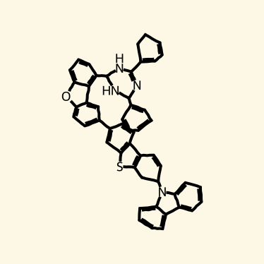 C1=CCCC(C2=NC(c3ccccc3)NC(c3cccc4oc5ccc(-c6ccc7c8c(sc7c6)CC(n6c7ccccc7c7ccccc76)C=C8)cc5c34)N2)=C1